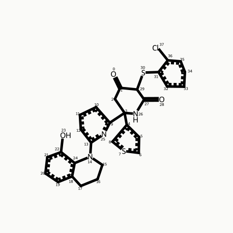 O=C1CC(c2ccsc2)(c2cccc(N3CCCc4cccc(O)c43)n2)NC(=O)C1Sc1ccccc1Cl